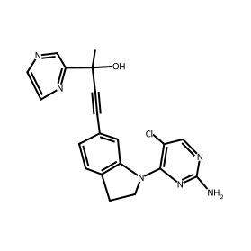 CC(O)(C#Cc1ccc2c(c1)N(c1nc(N)ncc1Cl)CC2)c1cnccn1